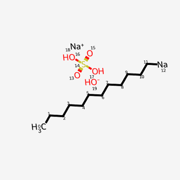 CCCCCCCCCCC[CH2][Na].O=S(=O)(O)O.[Na+].[OH-]